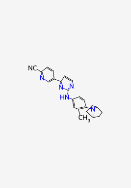 Cc1cc(Nc2nccc(-c3ccc(C#N)nc3)n2)ccc1N1C2CCC1CC2